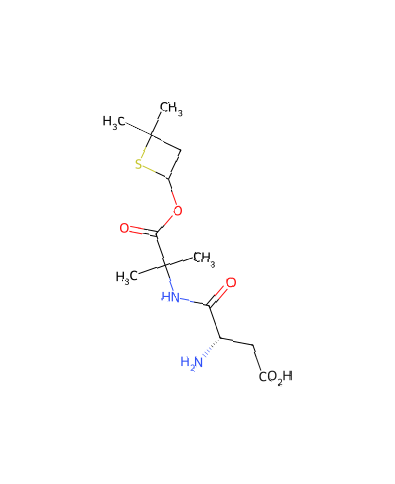 CC1(C)CC(OC(=O)C(C)(C)NC(=O)[C@@H](N)CC(=O)O)S1